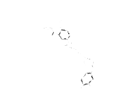 COc1ccc(S(=O)(=O)NC[C@H](O)CN2CCC(Oc3ccc(Cl)c(Cl)c3)CC2)cc1C(N)=O